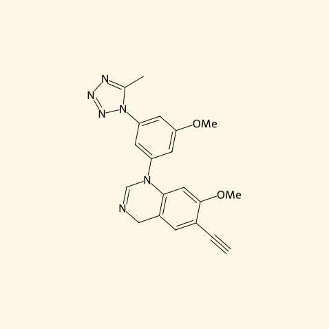 C#Cc1cc2c(cc1OC)N(c1cc(OC)cc(-n3nnnc3C)c1)C=NC2